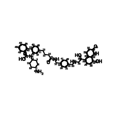 N[C@H]1CC[C@H](N(C(=O)O)c2cc(CCCC(=O)NCc3ccc(CNC[C@H](O)c4ccc(O)c5[nH]c(=O)ccc45)cc3)ccc2-c2ccccc2)CC1